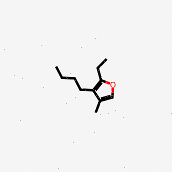 CCCCc1c(C)coc1CC